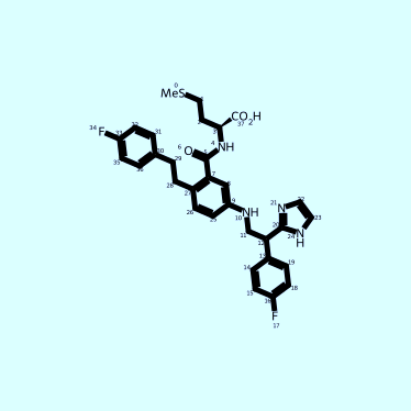 CSCC[C@H](NC(=O)c1cc(NCC(c2ccc(F)cc2)c2ncc[nH]2)ccc1CCc1ccc(F)cc1)C(=O)O